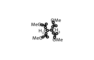 COc1ccc(-n2c3ccccc3c3cc(-c4cc(-c5cc(-c6ccc7c(c6)c6ccccc6n7-c6ccc(OC)cc6)c(C)c(-c6ccc7c(c6)c6ccccc6n7-c6ccc(OC)cc6)c5)cc(-c5ccc6c(c5)c5ccccc5n6-c5ccc(OC)cc5)c4C)ccc32)cc1